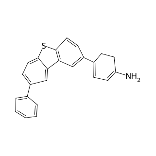 NC1=CC=C(c2ccc3sc4ccc(-c5ccccc5)cc4c3c2)CC1